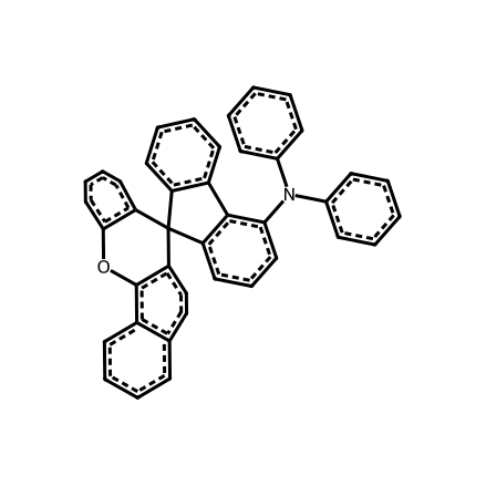 c1ccc(N(c2ccccc2)c2cccc3c2-c2ccccc2C32c3ccccc3Oc3c2ccc2ccccc32)cc1